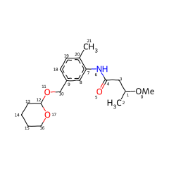 COC(C)CC(=O)Nc1cc(COC2CCCCO2)ccc1C